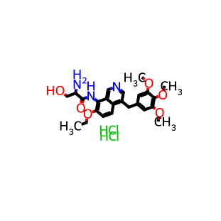 CCOc1ccc2c(Cc3cc(OC)c(OC)c(OC)c3)cncc2c1NC(=O)C(N)CO.Cl.Cl